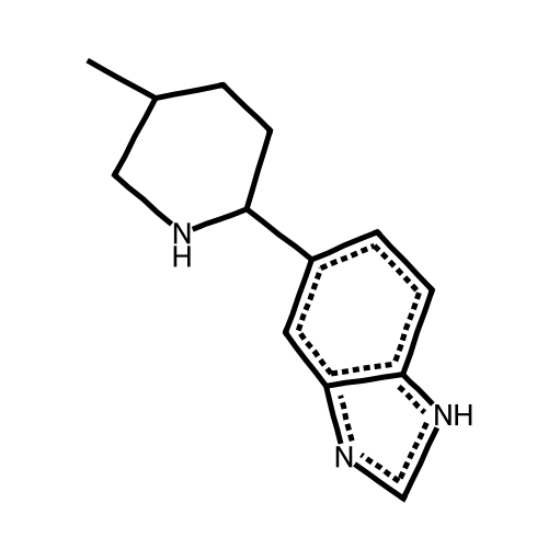 CC1CCC(c2ccc3[nH]cnc3c2)NC1